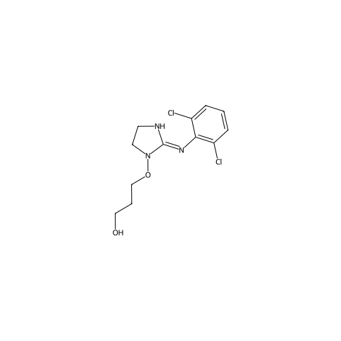 OCCCON1CCN/C1=N\c1c(Cl)cccc1Cl